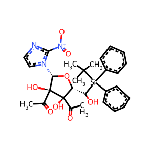 CC(=O)[C@@]1(O)[C@@H](C(O)[Si](c2ccccc2)(c2ccccc2)C(C)(C)C)O[C@@H](n2ccnc2[N+](=O)[O-])[C@@]1(O)C(C)=O